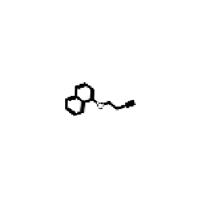 C#CCCOc1cccc2ccccc12